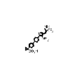 N=C/C(=C\c1csc(-c2ccc(-c3ccc(C4(C(=O)O)CC4)cc3)cc2)c1N)C(F)(F)F